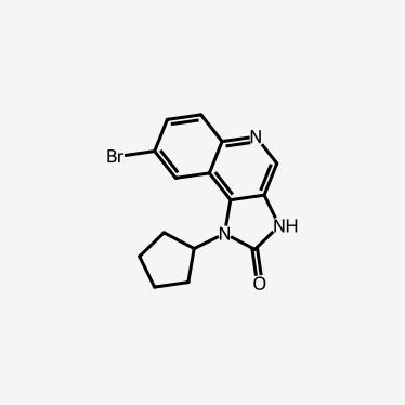 O=c1[nH]c2cnc3ccc(Br)cc3c2n1C1CCCC1